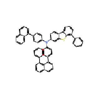 c1ccc(-c2cccc3c2sc2cc(N(c4ccc(-c5cccc6ccccc56)cc4)c4ccc(-c5cccc6cccc(-c7ccccc7)c56)cc4)ccc23)cc1